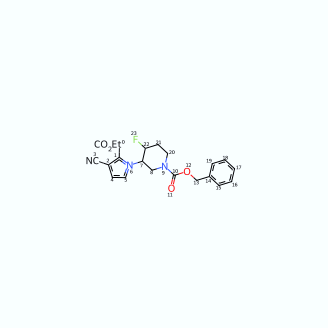 CCOC(=O)c1c(C#N)ccn1C1CN(C(=O)OCc2ccccc2)CCC1F